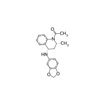 CC(=O)N1c2ccccc2[C@@H](Nc2ccc3c(c2)OCO3)C[C@H]1C